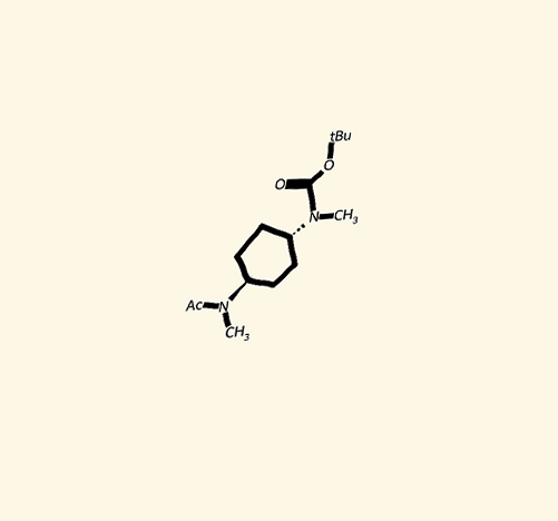 CC(=O)N(C)[C@H]1CC[C@H](N(C)C(=O)OC(C)(C)C)CC1